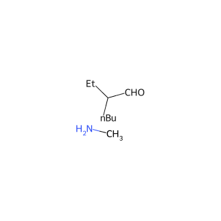 CCCCC(C=O)CC.CN